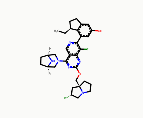 CC[C@H]1CCc2cc(O)cc(-c3ncc4c(N5C[C@H]6CC[C@@H](C5)N6)nc(OC[C@@]56CCCN5C[C@H](F)C6)nc4c3F)c21